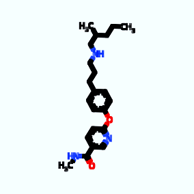 CCCC(C)CNCCCc1ccc(Oc2ccc(C(=O)NC)cn2)cc1